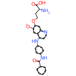 COc1cc2c(Nc3ccc(NC(=O)c4ccccc4)cc3)ccnc2cc1OCCC(N)C(=O)O